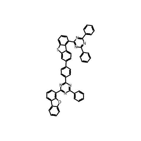 c1ccc(-c2nc(-c3ccc(-c4ccc5c(c4)sc4cccc(-c6nc(-c7ccccc7)nc(-c7ccccc7)n6)c45)cc3)nc(-c3cccc4c3oc3ccccc34)n2)cc1